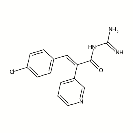 N=C(N)NC(=O)/C(=C/c1ccc(Cl)cc1)c1cccnc1